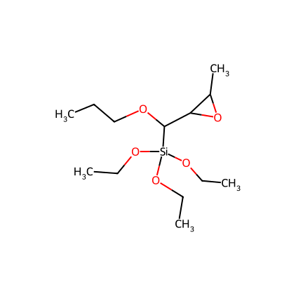 CCCOC(C1OC1C)[Si](OCC)(OCC)OCC